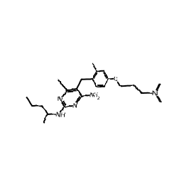 CCCC(C)Nc1nc(C)c(Cc2ccc(OCCCN(C)C)cc2C)c(N)n1